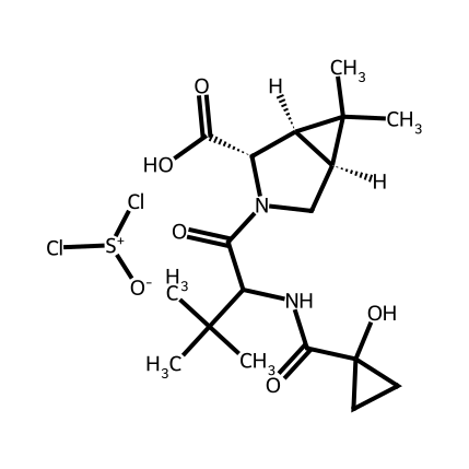 CC(C)(C)C(NC(=O)C1(O)CC1)C(=O)N1C[C@H]2[C@@H]([C@H]1C(=O)O)C2(C)C.[O-][S+](Cl)Cl